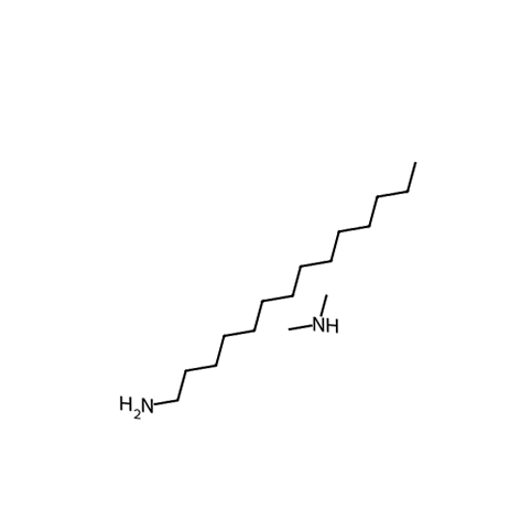 CCCCCCCCCCCCCCN.CNC